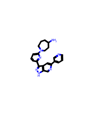 NC1CCCN(c2cccc(-c3n[nH]c4cnc(-c5cccnc5)cc34)n2)CC1